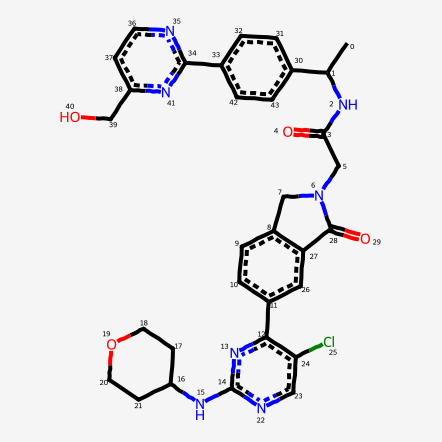 CC(NC(=O)CN1Cc2ccc(-c3nc(NC4CCOCC4)ncc3Cl)cc2C1=O)c1ccc(-c2nccc(CO)n2)cc1